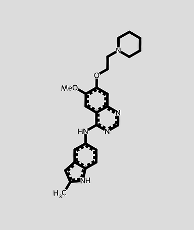 COc1cc2c(Nc3ccc4[nH]c(C)cc4c3)ncnc2cc1OCCN1CCCCC1